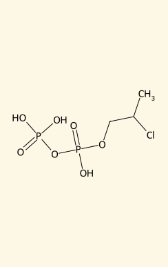 CC(Cl)COP(=O)(O)OP(=O)(O)O